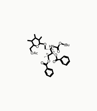 CC(=O)OCC1OC(OC[C@H](NC(=O)OC(C)(C)C)[C@H](OC(=O)c2ccccc2)[C@@H](C)OC(=O)c2ccccc2)C(C)C(C)C1C